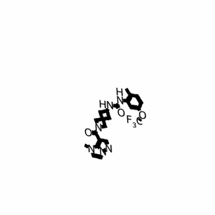 Cc1ccc(OC(F)(F)F)cc1NC(=O)NC1CC2(C1)CN(C(=O)c1cnn3ccn(C)c13)C2